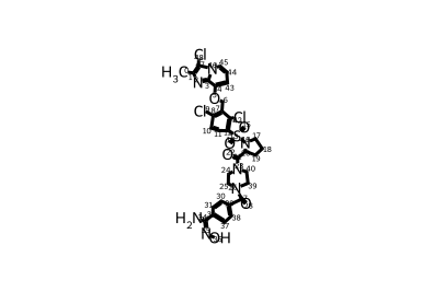 Cc1nc2c(OCc3c(Cl)ccc(S(=O)(=O)N4CCCC4C(=O)N4CCN(C(=O)c5ccc(/C(N)=N\O)cc5)CC4)c3Cl)cccn2c1Cl